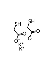 O=C([O-])CS.O=C([O-])CS.[K+].[K+]